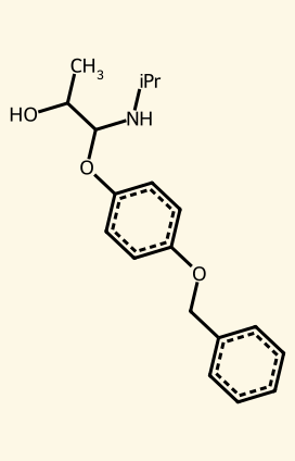 CC(C)NC(Oc1ccc(OCc2ccccc2)cc1)C(C)O